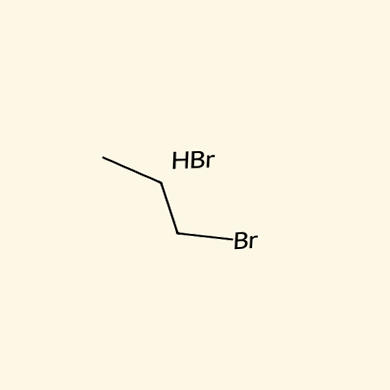 Br.CCCBr